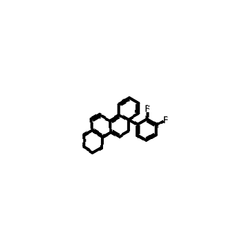 Fc1cccc(C23C=CC=CC2=c2ccc4c(c2=CC3)CCCC4)c1F